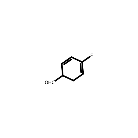 O=CC1C=CC(F)=CC1